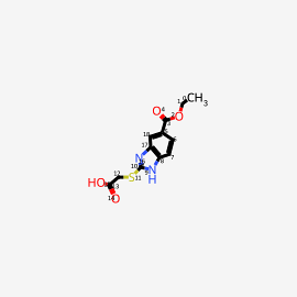 CCOC(=O)c1ccc2[nH]c(SCC(=O)O)nc2c1